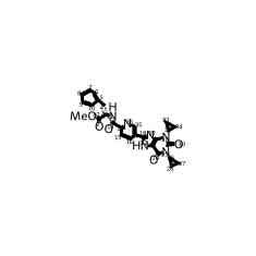 COC(=O)[C@H](Cc1ccccc1)NC(=O)c1ccc(-c2nc3c([nH]2)c(=O)n(C2CC2)c(=O)n3C2CC2)cn1